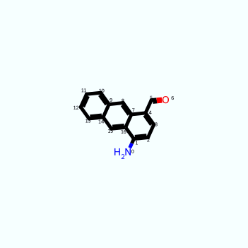 Nc1ccc(C=O)c2cc3ccccc3cc12